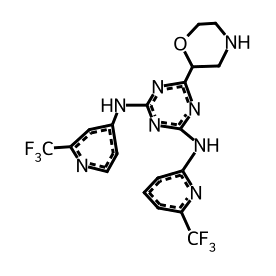 FC(F)(F)c1cc(Nc2nc(Nc3cccc(C(F)(F)F)n3)nc(C3CNCCO3)n2)ccn1